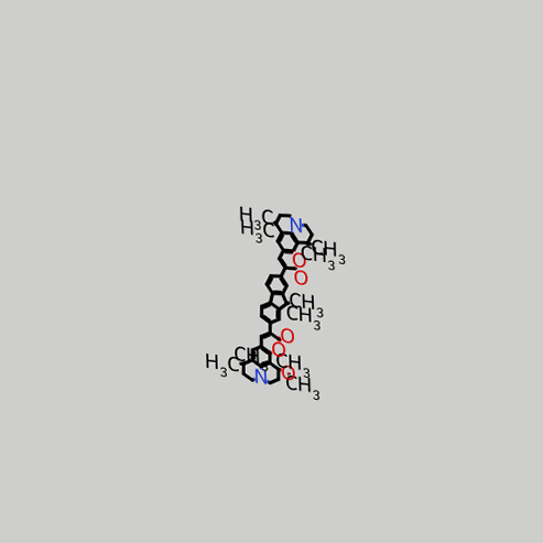 COC1(C)CCN2CCC(C)(C)c3cc4cc(-c5ccc6c(c5)C(C)(C)c5cc(-c7cc8cc9c%10c(c8oc7=O)C(C)(C)CCN%10CCC9(C)C)ccc5-6)c(=O)oc4c1c32